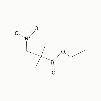 CCOC(=O)C(C)(C)C[N+](=O)[O-]